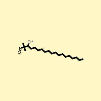 CCCCCCCCCCCCCCCCC(O)C(C)(C)N=O